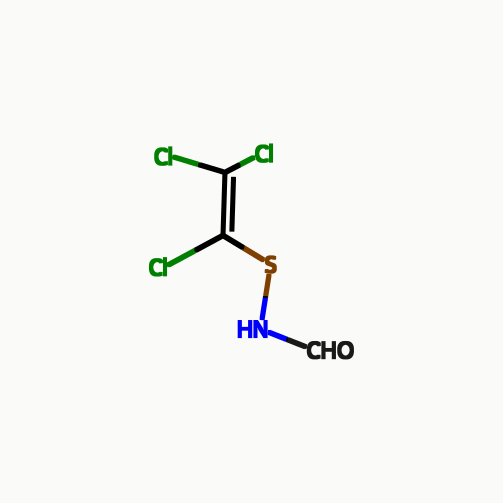 O=CNSC(Cl)=C(Cl)Cl